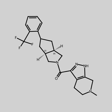 CN1CCc2c(C(=O)N3C[C@H]4CC(c5ccccc5C(F)(F)F)C[C@H]4C3)n[nH]c2C1